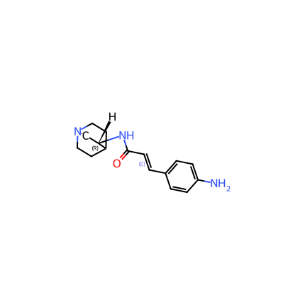 Nc1ccc(/C=C/C(=O)N[C@H]2CN3CCC2CC3)cc1